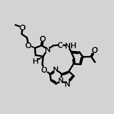 COCCO[C@@H]1C[C@H]2COc3ccn4ncc(c4n3)-c3cc(cc(C(C)=O)c3)NCCN2C1=O